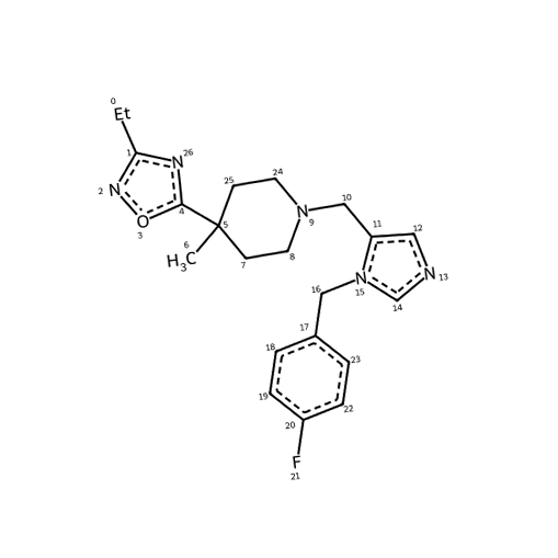 CCc1noc(C2(C)CCN(Cc3cncn3Cc3ccc(F)cc3)CC2)n1